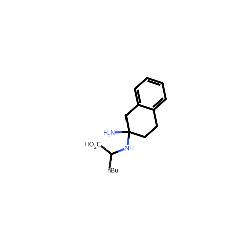 CCCCC(NC1(N)CCc2ccccc2C1)C(=O)O